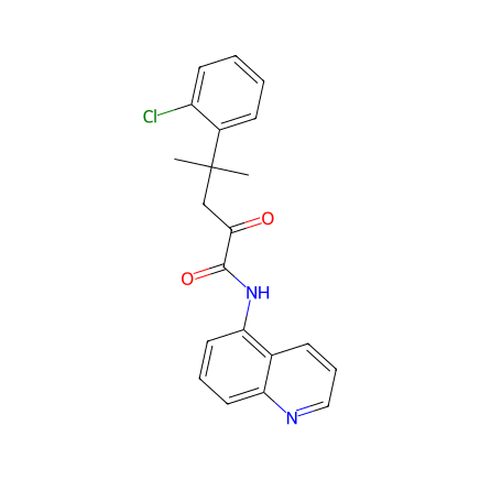 CC(C)(CC(=O)C(=O)Nc1cccc2ncccc12)c1ccccc1Cl